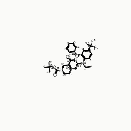 CCN(c1ccc(C(F)(F)F)cc1)c1nc2c(c(=O)n1Oc1ccccc1)CN(C(=O)OC(C)(C)C)CC2